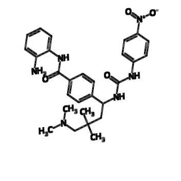 CN(C)CC(C)(C)CC(NC(=O)Nc1ccc([N+](=O)[O-])cc1)c1ccc(C(=O)Nc2ccccc2N)cc1